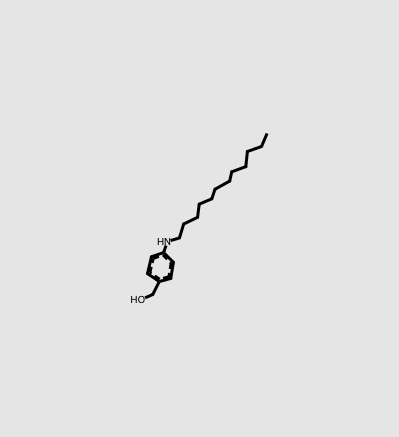 CCCCCCCCCCCCNc1ccc(CO)cc1